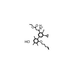 C=CCCCOc1c(C)c(C)cc(C)c1-c1cc(C2CC2)c(F)c([C@@H](N)CC(=O)OCC)c1.Cl